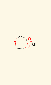 C1COCCO1.[O]=[AlH]